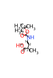 CC(C=CNC(=O)OC(C)(C)C)C(=O)O